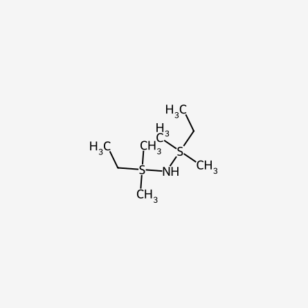 CCS(C)(C)NS(C)(C)CC